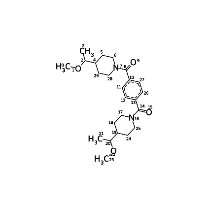 COC(C)C1CCN(C(=O)c2ccc(C(=O)N3CCC(C(C)OC)CC3)cc2)CC1